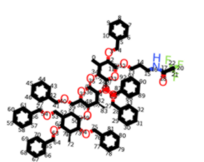 CC1C(OCc2ccccc2)[C@H](OCCCNC(=O)C(F)(F)F)O[C@@H](COCc2ccccc2)[C@H]1O[C@@H]1OC(COCc2ccccc2)[C@H](O[C@H]2CC(COCc3ccccc3)[C@H](OCc3ccccc3)[C@H](C)C2OCc2ccccc2)[C@H](C)C1OCc1ccccc1